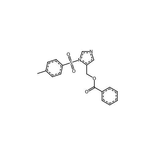 Cc1ccc(S(=O)(=O)n2cncc2COC(=O)c2ccccc2)cc1